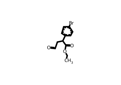 CCOC(=O)C(CC=O)c1ccc(Br)cc1